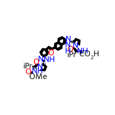 COC(=O)N[C@H](C(=O)N1CCC[C@H]1c1nc2ccc3cc(-c4ccc5c(ccc6nc([C@@H]7CCCN7C(=O)[C@@H](NC(=O)O)C(C)C)[nH]c65)c4)oc3c2[nH]1)C(C)C